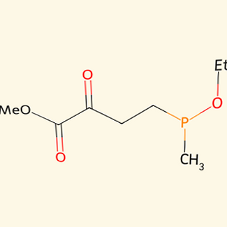 CCOP(C)CCC(=O)C(=O)OC